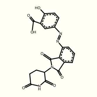 O=C1CCC(N2C(=O)c3cccc(/N=N/c4ccc(O)c(C(=O)O)c4)c3C2=O)C(=O)N1